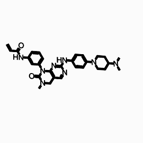 C=CC(=O)Nc1cccc(N2C(=O)N(C)Cc3cnc(Nc4ccc(N5CCC(N(C)C)CC5)cc4)nc32)c1